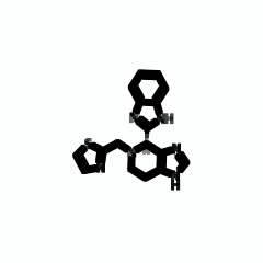 c1ccc2[nH]c([C@@H]3c4nc[nH]c4CCN3Cc3nccs3)nc2c1